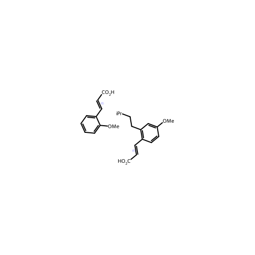 COc1ccc(/C=C/C(=O)O)c(CCC(C)C)c1.COc1ccccc1/C=C/C(=O)O